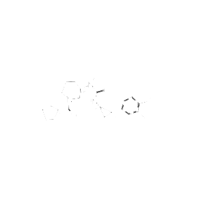 Cc1cc([C@@H]2C[C@H]2NC(=O)N(C)[C@@H]2CCCN(C(=O)[C@@H]3CCCO3)C2)ccc1Cl